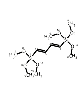 CO[Si](C=CC=C[Si](OC)(OC)OC)(OC)OC